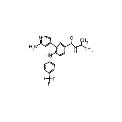 CC(C)NC(=O)c1ccc(Nc2ccc(C(F)(F)F)cc2)c(-c2ccnc(N)c2)c1